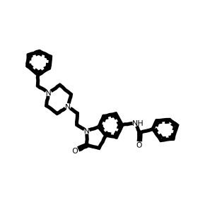 O=C(Nc1ccc2c(c1)CC(=O)N2CCN1CCN(Cc2ccccc2)CC1)c1ccccc1